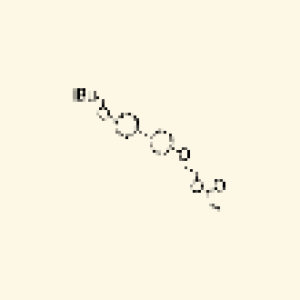 C=CC(=O)OCCOc1ccc(-c2ccc(OCC(C)CC)cc2)cc1